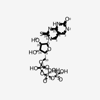 O=c1ncc2cn([C@@H]3O[C@H](COP(=O)(O)OP(=O)(O)OP(=O)(O)O)[C@H](O)C3O)c(=S)nc2[nH]1